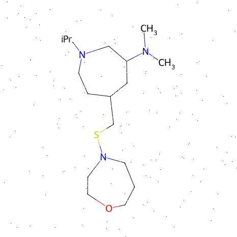 CC(C)N1CCC(CSN2CCCOCC2)CC(N(C)C)C1